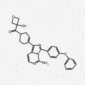 Nc1nccc2c(C3=CCN(C(=O)C4(O)COC4)CC3)nc(-c3ccc(Oc4ccccc4)cc3)n12